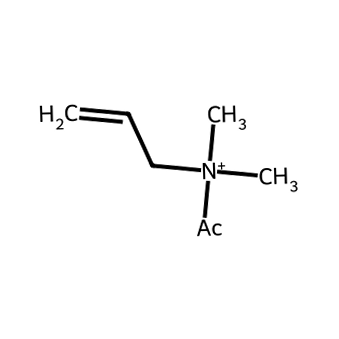 C=CC[N+](C)(C)C(C)=O